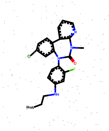 CNCCNc1ccc(N2C(=O)N(C)c3ncccc3-c3ccc(Cl)cc32)c(F)c1